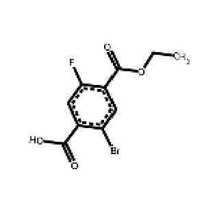 CCOC(=O)c1cc(Br)c(C(=O)O)cc1F